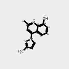 Cc1cc(-n2ccc(C(F)(F)F)n2)c2cccc(O)c2n1